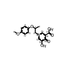 COc1ccc(OC(C)Cn2cc(O)c(=O)c(C(=O)O)c2)cc1